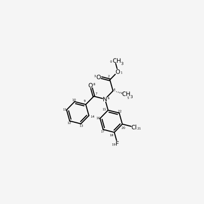 COC(=O)[C@H](C)N(C(=O)c1ccccc1)c1ccc(F)c(Cl)c1